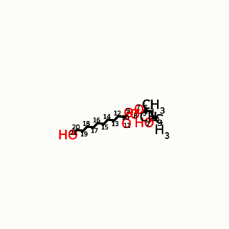 CC(O)CC(C)(C)OOOC(=O)CCCCCCCCCO